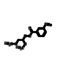 COc1cccc(C(=O)OOC(COC(=O)O)OC(=O)O)c1